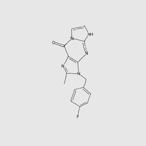 Cc1nc2c(=O)n3cc[nH]c3nc2n1Cc1ccc(F)cc1